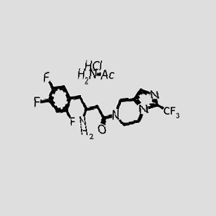 CC(N)=O.Cl.NC(CC(=O)N1CCn2c(cnc2C(F)(F)F)C1)Cc1cc(F)c(F)cc1F